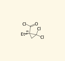 CC[C@]1(C(=O)Cl)CC1(Cl)Cl